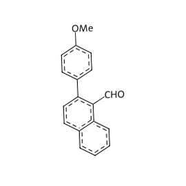 COc1ccc(-c2ccc3ccccc3c2C=O)cc1